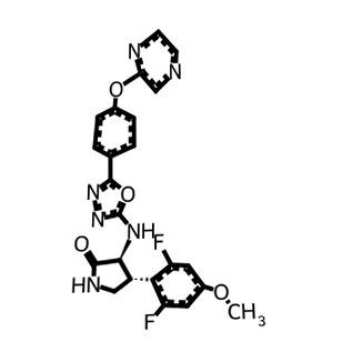 COc1cc(F)c([C@@H]2CNC(=O)[C@H]2Nc2nnc(-c3ccc(Oc4cnccn4)cc3)o2)c(F)c1